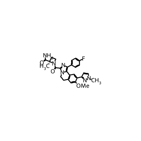 COc1cc2c(cc1-c1ccn(C)n1)-c1c(-c3ccc(F)cc3)nc(C(=O)N3CC[C@]3(C)C(N)=O)n1CC2